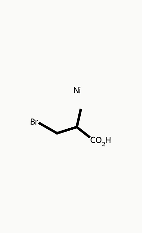 CC(CBr)C(=O)O.[Ni]